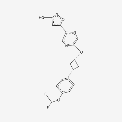 Oc1cc(-c2cnc(O[C@H]3C[C@@H](c4ccc(OC(F)F)cc4)C3)cn2)on1